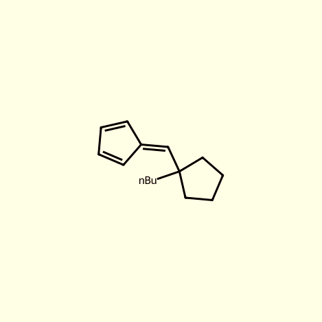 CCCCC1(C=C2C=CC=C2)CCCC1